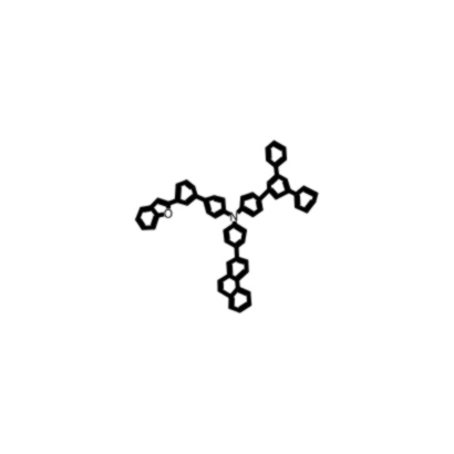 c1ccc(-c2cc(-c3ccccc3)cc(-c3ccc(N(c4ccc(-c5cccc(-c6cc7ccccc7o6)c5)cc4)c4ccc(-c5ccc6c(ccc7ccccc76)c5)cc4)cc3)c2)cc1